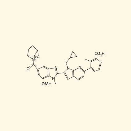 COc1cc(C(=O)N2CC3CCC2[C@@H]3C)cc2nc(-c3cc4ccc(-c5cccc(C(=O)O)c5C)nc4n3CC3CC3)n(C)c12